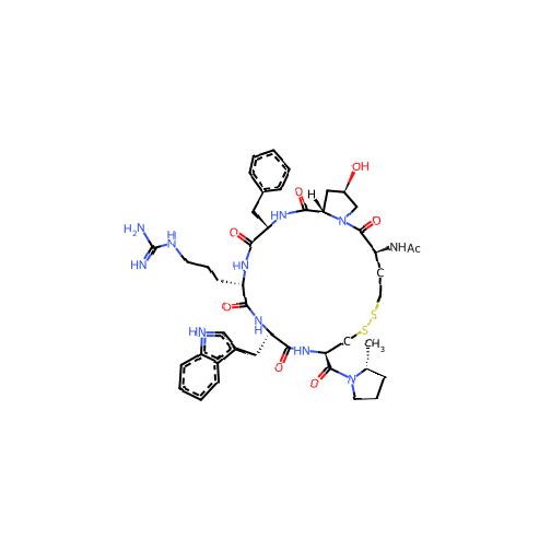 CC(=O)N[C@H]1CCSSC[C@@H](C(=O)N2CCC[C@H]2C)NC(=O)[C@H](Cc2c[nH]c3ccccc23)NC(=O)[C@H](CCCNC(=N)N)NC(=O)[C@@H](Cc2ccccc2)NC(=O)[C@@H]2C[C@@H](O)CN2C1=O